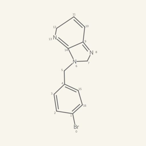 Brc1ccc(CN2CN=C3C=CCN=C32)cc1